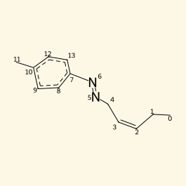 CC/C=C\C/N=N/c1ccc(C)cc1